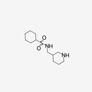 O=S(=O)(NCC1CCCNC1)C1CCCCC1